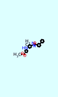 CCOC(=O)[C@@H]1CC[C@H](NC2=CCC(c3noc(-c4cccc(-c5ccccc5)c4)n3)C=C2C)C1